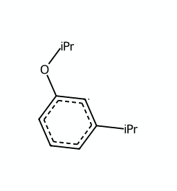 CC(C)Oc1[c]c(C(C)C)ccc1